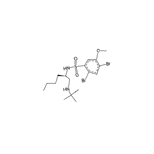 CCCC[C@H](CNC(C)(C)C)NS(=O)(=O)c1cc(OC)c(Br)cc1Br